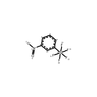 O=[N+]([O-])c1c[c]cc(S(F)(F)(F)(F)F)c1